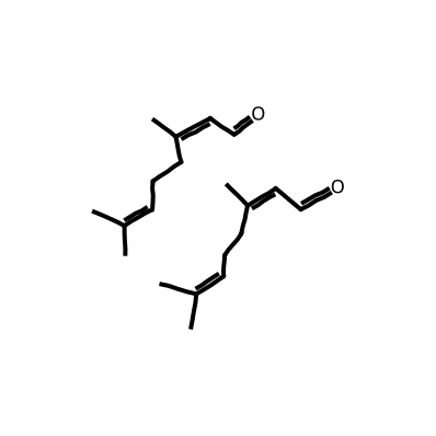 CC(C)=CCC/C(C)=C\C=O.CC(C)=CCC/C(C)=C\C=O